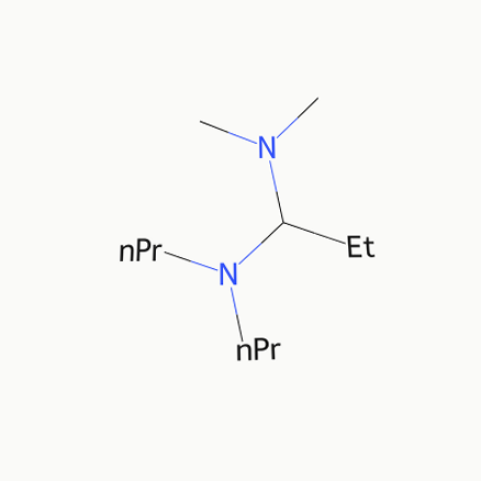 CCCN(CCC)C(CC)N(C)C